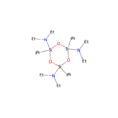 CCN(CC)[Si]1(C(C)C)O[Si](C(C)C)(N(CC)CC)O[Si](C(C)C)(N(CC)CC)O1